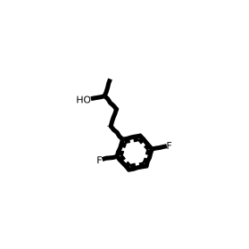 CC(O)C[CH]c1cc(F)ccc1F